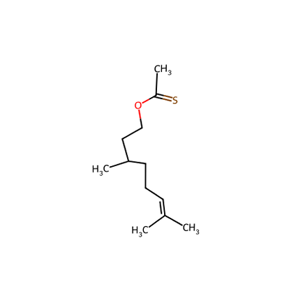 CC(=S)OCCC(C)CCC=C(C)C